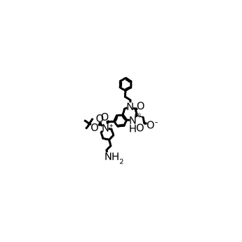 CC(C)(C)OC(=O)[N+]1(C(=O)c2ccc3c(c2)CN(CCc2ccccc2)C(=O)[C@@H](CC(=O)[O-])N3)CCC(CCN)CC1